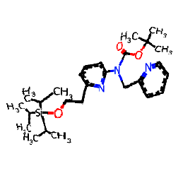 CC(C)[Si](OCCc1cccc(N(Cc2ccccn2)C(=O)OC(C)(C)C)n1)(C(C)C)C(C)C